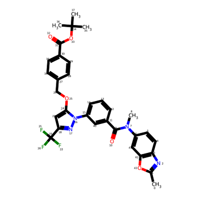 Cc1nc2ccc(N(C)C(=O)c3cccc(-n4nc(C(F)(F)F)cc4OCc4ccc(C(=O)OC(C)(C)C)cc4)c3)cc2o1